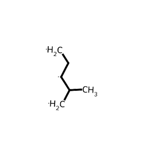 [CH2]C[CH]C([CH2])C